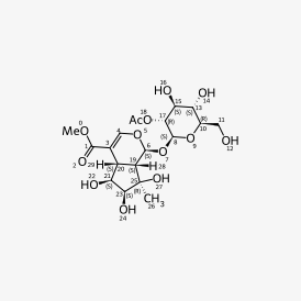 COC(=O)C1=CO[C@@H](O[C@@H]2O[C@H](CO)[C@@H](O)[C@H](O)[C@H]2OC(C)=O)[C@H]2[C@@H]1[C@H](O)[C@H](O)[C@]2(C)O